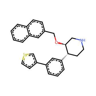 c1cc(-c2ccsc2)cc([C@H]2CCNC[C@@H]2OCc2ccc3ccccc3c2)c1